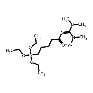 CCO[Si](CCCCC(=O)N=C(N(C)C)N(C)C)(OCC)OCC